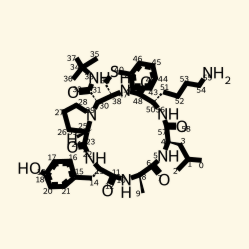 CC(C)C[C@H]1NC(=O)[C@@H](C)NC(=O)[C@H](Cc2ccc(O)cc2)NC(=O)[C@@H]2CCCN2[C@H](C(=O)NC(C)(C)C)[C@H](CSc2ccccc2)NC(=O)[C@H](CCCCN)NC1=O